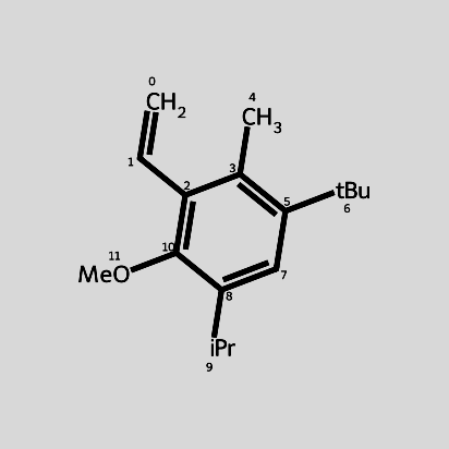 C=Cc1c(C)c(C(C)(C)C)cc(C(C)C)c1OC